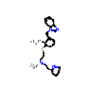 Cc1c(Cn2cnc3ccccc32)cccc1SCCN(C)CCc1ccccn1